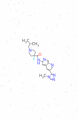 CC(C)CN1CCC(F)(C(=O)Nc2cc3cc(-c4nncn4C)cnc3cn2)CC1